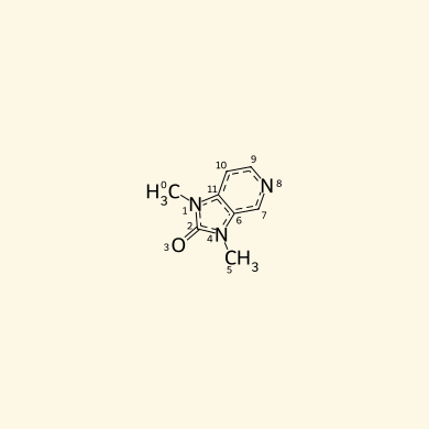 Cn1c(=O)n(C)c2cnccc21